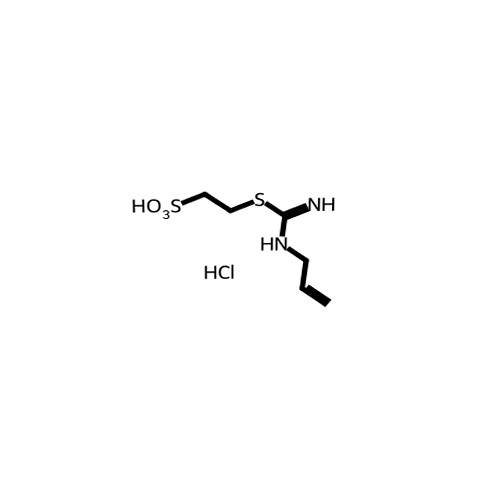 C=CCNC(=N)SCCS(=O)(=O)O.Cl